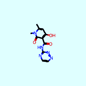 Cc1cc(O)c(C(=O)Nc2nccnn2)c(=O)n1C